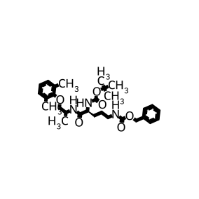 Cc1cccc(C)c1OCC(C)NC(=O)[C@H](CCCNC(=O)OCc1ccccc1)NC(=O)OC(C)(C)C